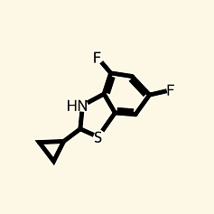 Fc1cc(F)c2c(c1)SC(C1CC1)N2